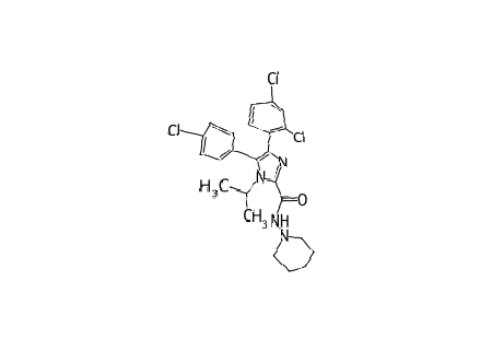 CC(C)n1c(C(=O)NN2CCCCC2)nc(-c2ccc(Cl)cc2Cl)c1-c1ccc(Cl)cc1